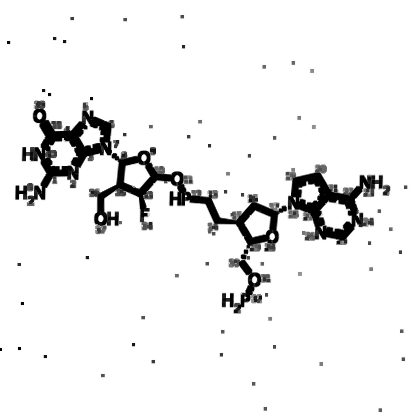 Nc1nc2c(ncn2[C@@H]2OC(OPCC[C@H]3C[C@H](n4ccc5c(N)ncnc54)O[C@@H]3COP)[C@@H](F)[C@H]2CO)c(=O)[nH]1